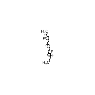 C=CCCc1ccc(CCC2CCC(/C=C/C3CCC(CCC)C(F)(F)C3)OC2)c(F)c1F